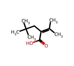 CC(C)=C(CC(C)(C)C)C(=O)O